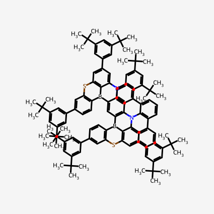 CC(C)(C)c1cc(-c2ccc3c(c2)Sc2cc(-c4cc(C(C)(C)C)cc(C(C)(C)C)c4)cc4c2B3c2cc3c(cc2N4c2cc(C(C)(C)C)cc(C(C)(C)C)c2)N(c2c(-c4ccccc4)cccc2-c2ccccc2)c2cc(-c4cc(C(C)(C)C)cc(C(C)(C)C)c4)cc4c2B3c2ccc(-c3cc(C(C)(C)C)cc(C(C)(C)C)c3)cc2S4)cc(C(C)(C)C)c1